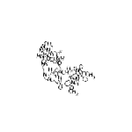 CC[C@@H]1C(=O)N(C)c2cnc(Nc3ccc(C(=O)NCCCN4CCN(CCCn5cc(Nc6nc(N7C[C@@H](F)[C@H](NC(=O)OCC[Si](C)(C)C)C7)nc7c6ncn7C)c(OC)n5)CC4)cc3OC)nc2N1C1CCCC1